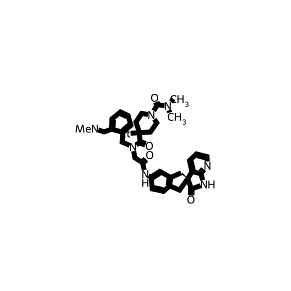 CCC1(C(=O)N(CC(=O)Nc2ccc3c(c2)C[C@@]2(C3)C(=O)Nc3ncccc32)Cc2ccccc2CNC)CCN(C(=O)N(C)C)CC1